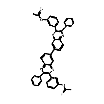 CC(=O)Oc1cccc(-c2nc3cc(-c4ccc5nc(-c6ccccc6)c(-c6cccc(OC(C)=O)c6)nc5c4)ccc3nc2-c2ccccc2)c1